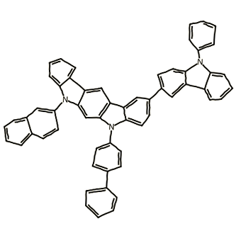 c1ccc(-c2ccc(-n3c4ccc(-c5ccc6c(c5)c5ccccc5n6-c5ccccc5)cc4c4cc5c6ccccc6n(-c6ccc7ccccc7c6)c5cc43)cc2)cc1